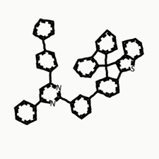 c1ccc(-c2ccc(-c3cc(-c4ccccc4)nc(-c4cccc(-c5ccc6c(c5)C5(c7ccccc7-c7ccccc75)c5c-6sc6ccccc56)c4)n3)cc2)cc1